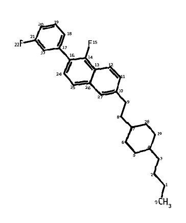 CCCCC1CCC(CCc2ccc3c(F)c(-c4cccc(F)c4)ccc3c2)CC1